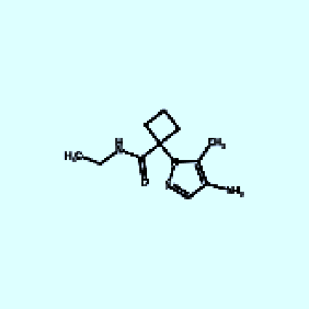 CCNC(=O)C1(n2ncc(N)c2C)CCC1